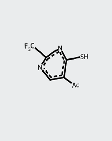 CC(=O)c1cnc(C(F)(F)F)nc1S